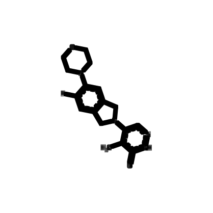 Cc1c(N2Cc3cc(F)c(N4CCOCC4)cc3C2)cn[nH]c1=O